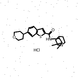 CC1(C)C(NC(=O)c2cc3ccc(C4CCOCC4)cc3s2)C2CCN1CC2.Cl